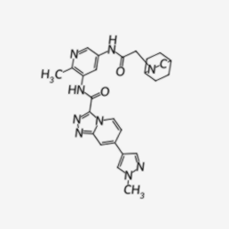 Cc1ncc(NC(=O)CN2CC3CCC2CC3)cc1NC(=O)c1nnc2cc(-c3cnn(C)c3)ccn12